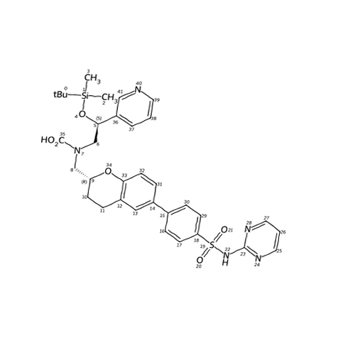 CC(C)(C)[Si](C)(C)O[C@H](CN(C[C@H]1CCc2cc(-c3ccc(S(=O)(=O)Nc4ncccn4)cc3)ccc2O1)C(=O)O)c1cccnc1